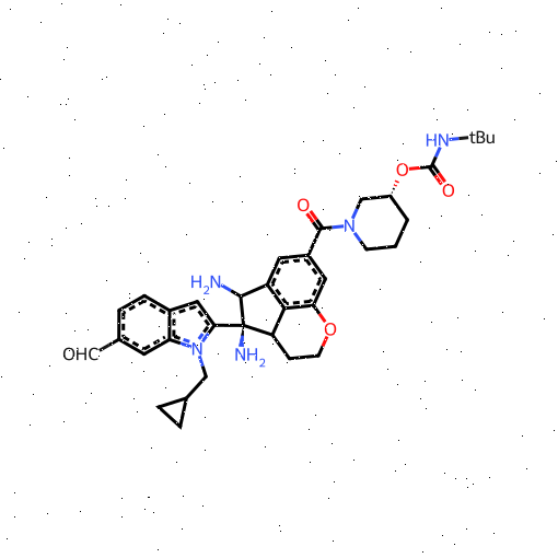 CC(C)(C)NC(=O)O[C@@H]1CCCN(C(=O)c2cc3c4c(c2)C(N)[C@@](N)(c2cc5ccc(C=O)cc5n2CC2CC2)C4CCO3)C1